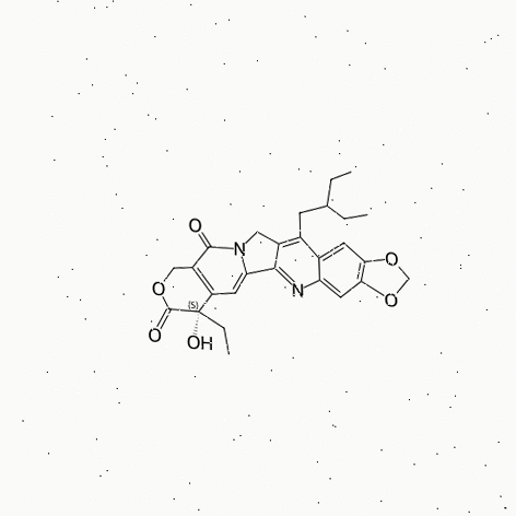 CCC(CC)Cc1c2c(nc3cc4c(cc13)OCO4)-c1cc3c(c(=O)n1C2)COC(=O)[C@]3(O)CC